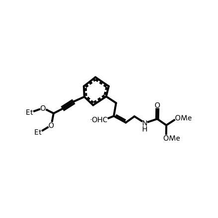 CCOC(C#Cc1cccc(C/C([C]=O)=C\CNC(=O)C(OC)OC)c1)OCC